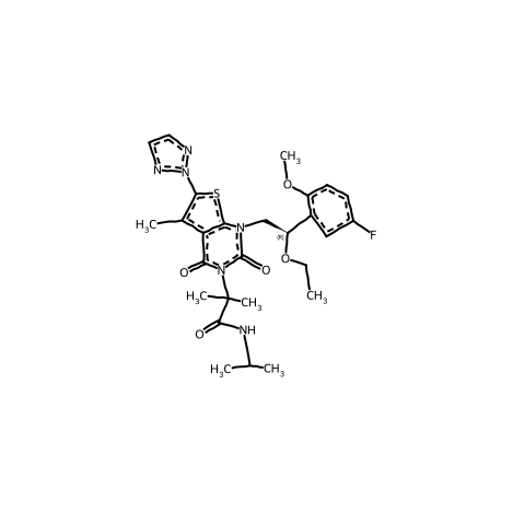 CCO[C@@H](Cn1c(=O)n(C(C)(C)C(=O)NC(C)C)c(=O)c2c(C)c(-n3nccn3)sc21)c1cc(F)ccc1OC